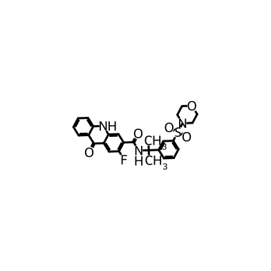 CC(C)(NC(=O)c1cc2[nH]c3ccccc3c(=O)c2cc1F)c1cccc(S(=O)(=O)N2CCOCC2)c1